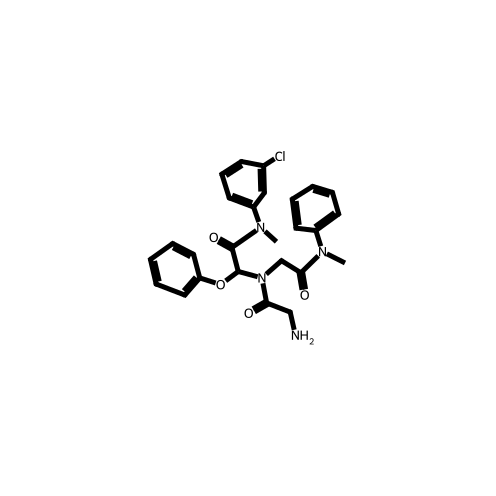 CN(C(=O)CN(C(=O)CN)C(Oc1ccccc1)C(=O)N(C)c1cccc(Cl)c1)c1ccccc1